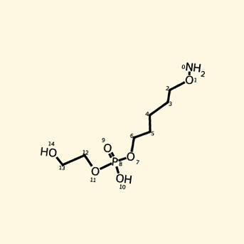 NOCCCCCOP(=O)(O)OCCO